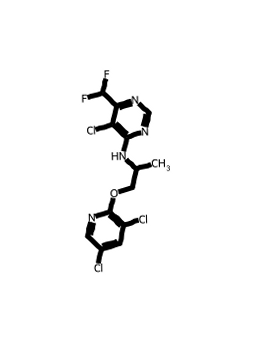 CC(COc1ncc(Cl)cc1Cl)Nc1ncnc(C(F)F)c1Cl